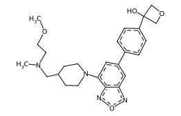 COCCN(C)CC1CCN(c2cc(-c3ccc(C4(O)COC4)cc3)cc3nonc23)CC1